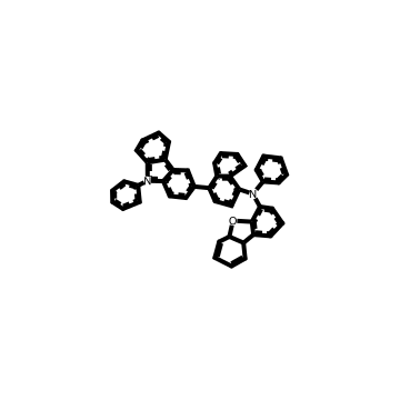 C1=CC2Oc3c(cccc3N(c3ccccc3)c3ccc(-c4ccc5c(c4)c4ccccc4n5-c4ccccc4)c4ccccc34)C2C=C1